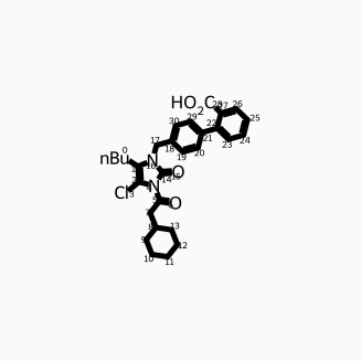 CCCCc1c(Cl)n(C(=O)CC2CCCCC2)c(=O)n1Cc1ccc(-c2ccccc2C(=O)O)cc1